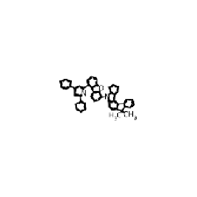 CC1(C)c2ccccc2-c2c1ccc1c2c2ccccc2n1-c1cccc2c1oc1cccc(-c3cc(-c4ccccc4)cc(-c4ccccc4)n3)c12